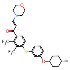 C[C@H]1CC[C@@H](Oc2cccc(Sc3ccc(C(=O)C=CN4CCOCC4)c(C(F)(F)F)c3C(F)(F)F)c2)CC1